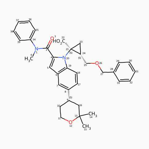 CN(C(=O)c1cc2cc([C@H]3CCOC(C)(C)C3)ccc2n1[C@@]1(C(=O)O)C[C@@H]1COCc1ccccc1)c1ccccc1